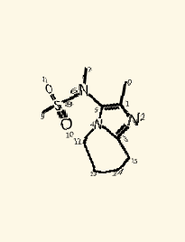 Cc1nc2n(c1N(C)S(C)(=O)=O)CCCC2